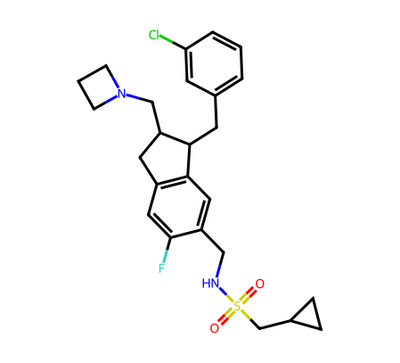 O=S(=O)(CC1CC1)NCc1cc2c(cc1F)CC(CN1CCC1)C2Cc1cccc(Cl)c1